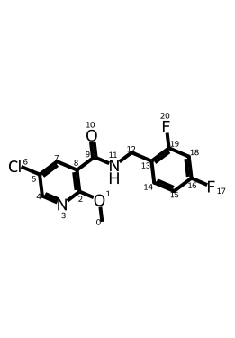 COc1ncc(Cl)cc1C(=O)NCc1ccc(F)cc1F